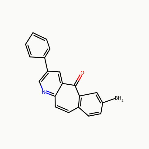 Bc1ccc2ccc3ncc(-c4ccccc4)cc3c(=O)c2c1